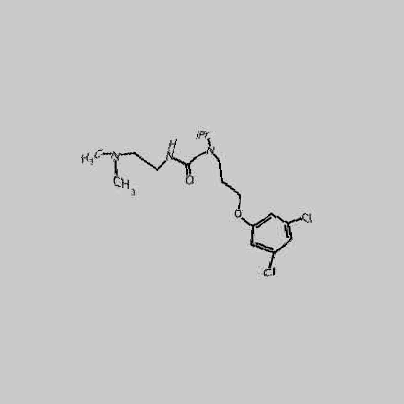 CC(C)N(CCCOc1cc(Cl)cc(Cl)c1)C(=O)NCCN(C)C